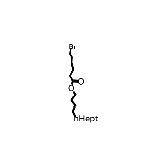 CCCCCCCCCCCOC(=O)CCCCCBr